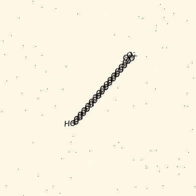 [O-][I+3]([O-])([O-])OOOOOOOOOOOOOOOOOOOOOOOOOOOOOO